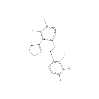 CCc1c(C)ccc(CCc2ccc(C)c(F)c2C2=CCCC2)c1F